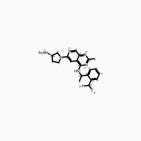 CC(=O)N[C@@H]1CCN(c2cc3c(NC(C)c4ccccc4C(F)F)nc(C)nc3cn2)C1